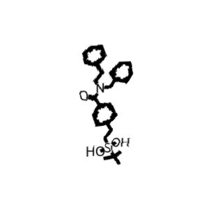 CC(C)(C)[Si](O)(O)CCc1ccc(C(=O)N(CCc2ccccc2)Cc2ccccc2)cc1